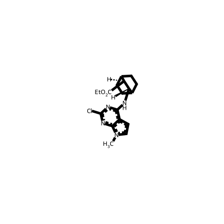 CCOC(=O)[C@H]1C2CCC(CC2)[C@@H]1Nc1nc(Cl)nc2c1ccn2C